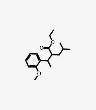 CCOC(=O)C(CC(C)C)C(C)c1ccccc1OC